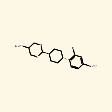 CCCCCc1ccc([C@H]2CC[C@H](C3OCC(CCCCC)CO3)CC2)c(F)c1